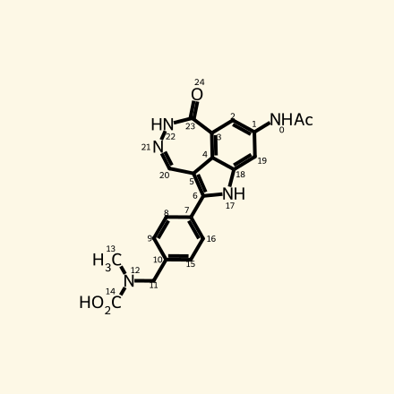 CC(=O)Nc1cc2c3c(c(-c4ccc(CN(C)C(=O)O)cc4)[nH]c3c1)C=NNC2=O